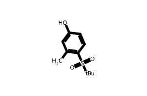 Cc1cc(O)ccc1S(=O)(=O)C(C)(C)C